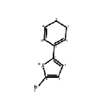 Brc1ccc(C2=CCCC=C2)s1